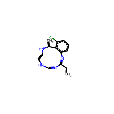 C=C1N/C=C/N/C=N\C(CC)=N/c2cccc(Cl)c21